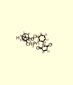 CC(C)c1c(OOC23CC(CCC2C)C3(C)C)cccc1N1C(=O)C=CC1=O